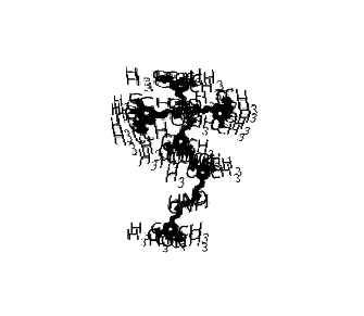 CC(C)(C)c1cc(CCC(=O)NNC(=O)CCc2cc(C(C)(C)C)c(O)c(C(C)(C)CCC(C)(C)c3cc(CCC(O)OC(OC(=O)CCc4cc(C(C)(C)C)c(O)c(C(C)(C)C)c4)(OC(=O)CCc4cc(C(C)(C)C)c(O)c(C(C)(C)C)c4)OC(=O)CCc4cc(C(C)(C)C)c(O)c(C(C)(C)C)c4)cc(C(C)(C)C)c3O)c2)cc(C(C)(C)C)c1O